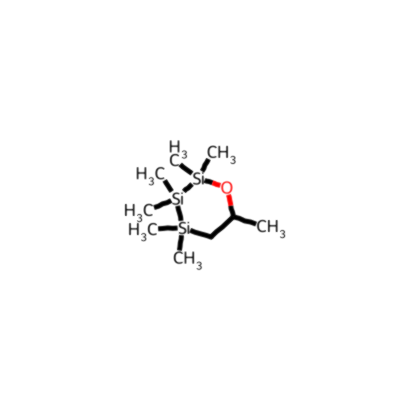 CC1C[Si](C)(C)[Si](C)(C)[Si](C)(C)O1